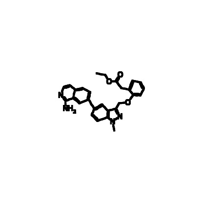 CCOC(=O)Cc1ccccc1OCc1nn(C)c2ccc(-c3ccc4ccnc(N)c4c3)cc12